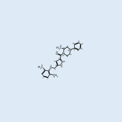 Cc1cccc(C)c1OCc1cc(C(=O)N2CCN(c3ccccc3)CC2C)no1